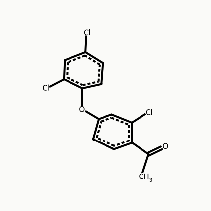 CC(=O)c1ccc(Oc2ccc(Cl)cc2Cl)cc1Cl